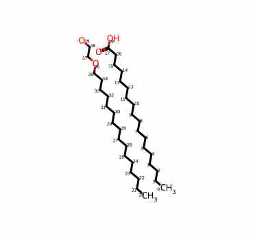 CCCCCCCCCCCCCCCCCC(=O)O.CCCCCCCCCCCCCCCCOCC[O]